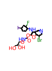 O=C(NOC[C@H](O)CO)Oc1oc2c(Br)cncc2c1Nc1ccc(I)cc1F